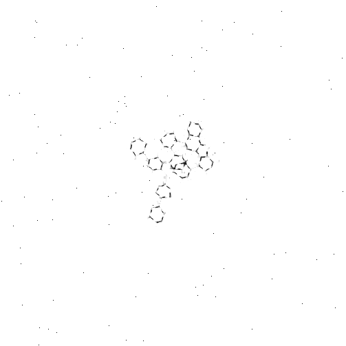 c1ccc(-c2ccc(N(c3ccc(-c4ccccc4)cc3)c3ccc(-c4cccc5oc6c7ccccc7c(-c7ccccc7-c7ccccc7)cc6c45)cc3)cc2)cc1